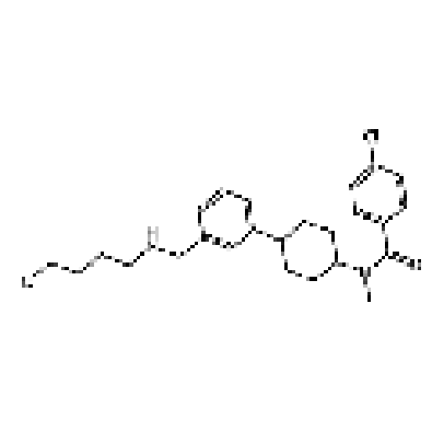 CN(C(=O)c1ccc(Cl)cc1)C1CCC(c2cccc(CNCCCCO)c2)CC1